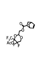 CC(=O)OC1(C(F)(F)F)OC(COC(=O)C2CC3C=CC2C3)OCC1(F)F